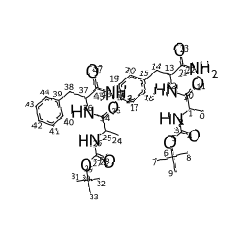 CC(NC(=O)OC(C)(C)C)C(=O)NC(Cc1ccccc1)C(N)=O.CC(NC(=O)OC(C)(C)C)C(=O)NC(Cc1ccccc1)C(N)=O